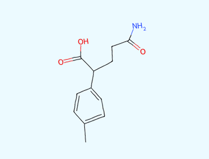 Cc1ccc(C(CCC(N)=O)C(=O)O)cc1